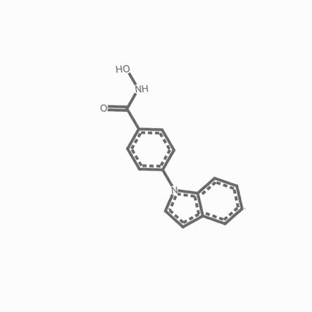 O=C(NO)c1ccc(-n2ccc3c[c]ccc32)cc1